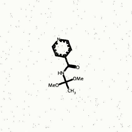 COC(C)(NC(=O)c1ccncc1)OC